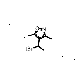 Cc1noc(C)c1C(C)C(C)(C)C